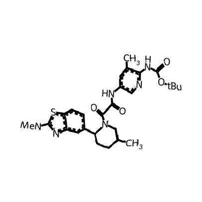 CNc1nc2cc(C3CCC(C)CN3C(=O)C(=O)Nc3cnc(NC(=O)OC(C)(C)C)c(C)c3)ccc2s1